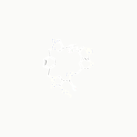 Cc1cnn(Cc2ccc(Cn3cc(C(=O)NCc4cnc5[nH]cc(Cl)c5c4)c(N)n3)cc2)c1